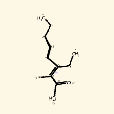 CCCCC/C(CC)=C(\F)C(=O)O